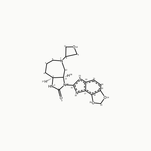 O=C1N[C@H]2CCCN(C3COC3)C[C@H]2N1c1nc2c3c(ccc2s1)OCO3